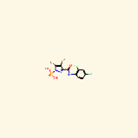 O=C(Nc1ccc(F)cc1Cl)c1nn(P(=O)(O)O)c(Br)c1Br